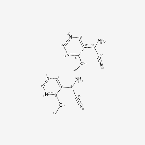 COc1ncncc1C(N)C#N.COc1ncncc1C(N)C#N